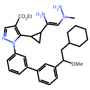 CCOC(=O)c1cnn(-c2cccc(-c3cccc(C(CC4CCCCC4)OC)c3)c2)c1C1CC1/C(N)=C/N(C)N